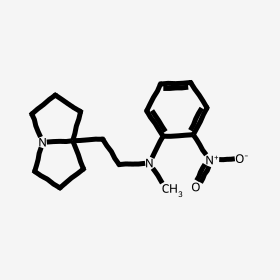 CN(CCC12CCCN1CCC2)c1ccccc1[N+](=O)[O-]